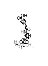 CC1(C)OB(c2cncc(NC(=O)CCN3CCN(C(=O)O)CC3)c2)OC1(C)C